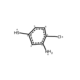 Nc1cc(S)ccc1Cl